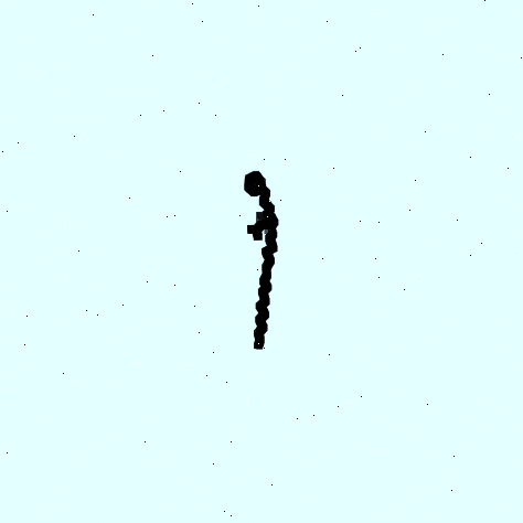 CCCCCCCCCCCCCCCCCCn1cc(CCCc2ccccc2)nc1C(C)C